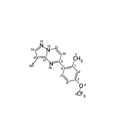 Cc1cc(OC(F)(F)F)ccc1-c1ccn2ncc(I)c2n1